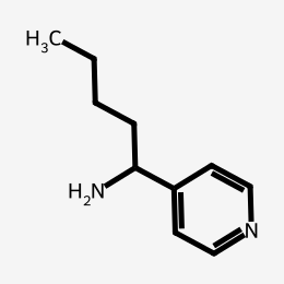 CCCCC(N)c1ccncc1